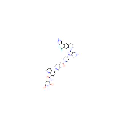 CC(=O)N1CCc2c(c(N3CCCc4cc(-c5cnn(C)c5)c(C(F)F)cc43)nn2C2CCN(C(=O)CC3CCN(c4ccc(C(=O)NC5CCC(=O)NC5=O)c5ncccc45)CC3)CC2)C1